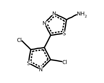 Nc1nnc(-c2c(Cl)nsc2Cl)s1